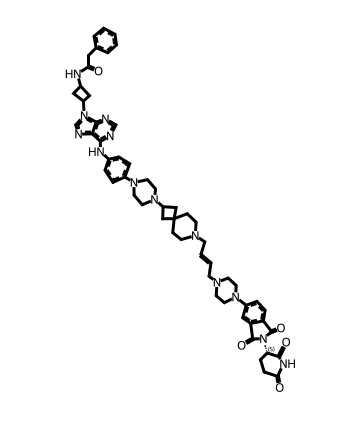 O=C1CC[C@H](N2C(=O)c3ccc(N4CCN(CC=CCN5CCC6(CC5)CC(N5CCN(c7ccc(Nc8ncnc9c8ncn9C8CC(NC(=O)Cc9ccccc9)C8)cc7)CC5)C6)CC4)cc3C2=O)C(=O)N1